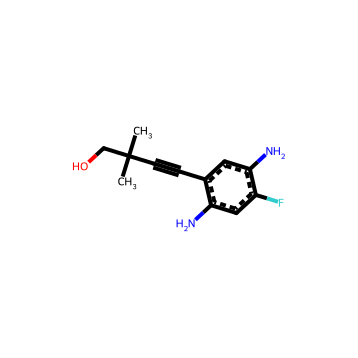 CC(C)(C#Cc1cc(N)c(F)cc1N)CO